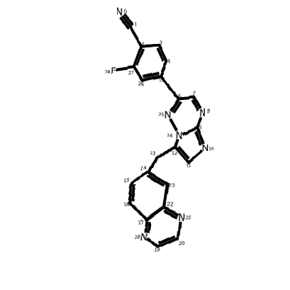 N#Cc1ccc(-c2cnc3ncc(Cc4ccc5nccnc5c4)n3n2)cc1F